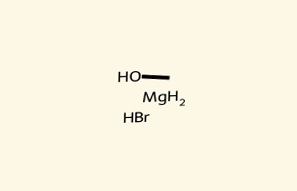 Br.CO.[MgH2]